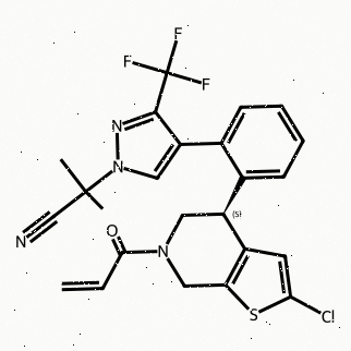 C=CC(=O)N1Cc2sc(Cl)cc2[C@H](c2ccccc2-c2cn(C(C)(C)C#N)nc2C(F)(F)F)C1